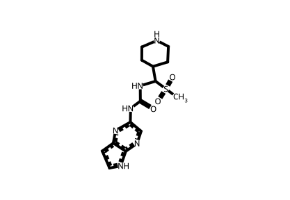 CS(=O)(=O)C(NC(=O)Nc1cnc2[nH]ccc2n1)C1CCNCC1